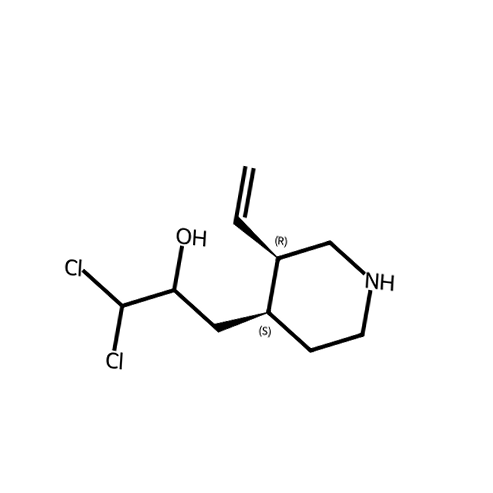 C=C[C@H]1CNCC[C@H]1CC(O)C(Cl)Cl